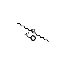 CCCCCCCCCCCCCCCCC.CN(C)Cc1ccccc1.Cl